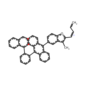 C=C/C=C\c1oc2ccc(-c3c4ccccc4c(-c4ccccc4-c4cccc5ccccc45)c4ccccc34)cc2c1C